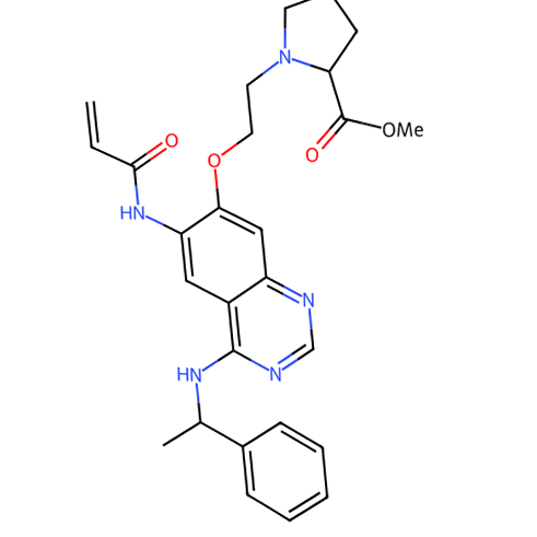 C=CC(=O)Nc1cc2c(NC(C)c3ccccc3)ncnc2cc1OCCN1CCCC1C(=O)OC